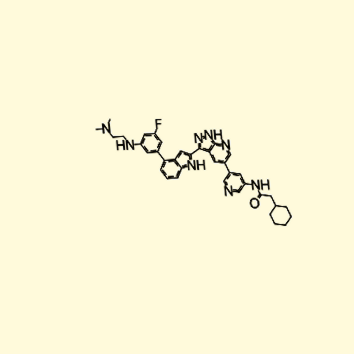 CN(C)CCNc1cc(F)cc(-c2cccc3[nH]c(-c4n[nH]c5ncc(-c6cncc(NC(=O)CC7CCCCC7)c6)cc45)cc23)c1